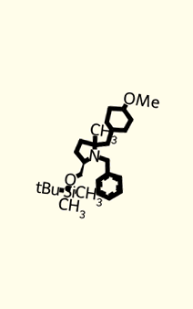 COC1CCC(CC2(C)CC[C@H](CO[Si](C)(C)C(C)(C)C)N2Cc2ccccc2)CC1